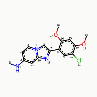 CNc1ccn2cc(-c3cc(Cl)c(OC)cc3OC)nc2c1